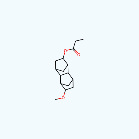 CCC(=O)OC1CC2CC1C1C3CC(OC)C(C3)C21